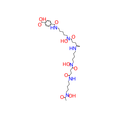 C=C(CCC(=O)N(O)CCCCCNC(=O)c1ccc(C(=O)O)cc1)NCCCCCN(O)C(=O)CCC(=O)NCCCCCN(O)C(C)=O